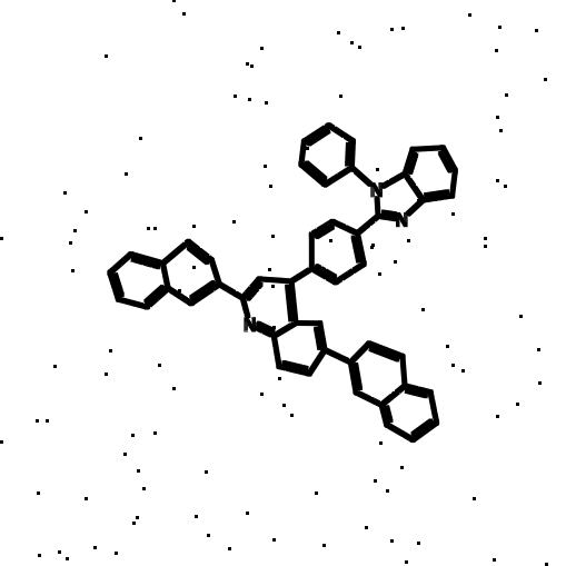 c1ccc(-n2c(-c3ccc(-c4cc(-c5ccc6ccccc6c5)nc5ccc(-c6ccc7ccccc7c6)cc45)cc3)nc3ccccc32)cc1